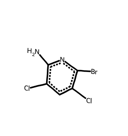 Nc1nc(Br)c(Cl)cc1Cl